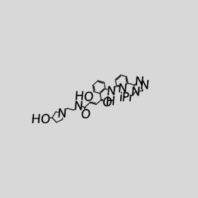 CC(C)n1cnnc1-c1cccc(Nc2cccc3oc(C(=O)NCCN4CC[C@@H](O)C4)cc(=O)c23)n1